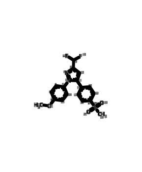 COc1ccc(-n2nc(C(F)F)cc2-c2ccc(S(C)(=O)=O)cc2)cc1